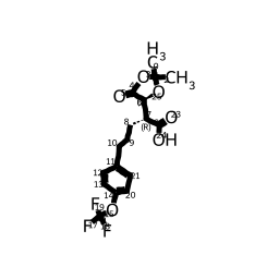 CC1(C)OC(=O)[C@H]([C@@H](CCCc2ccc(OC(F)(F)F)cc2)C(=O)O)O1